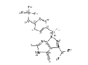 Cc1nc2c(c(C(F)F)nn2[C@@H](C)c2ccc(OC(F)(F)F)cc2)c(=O)[nH]1